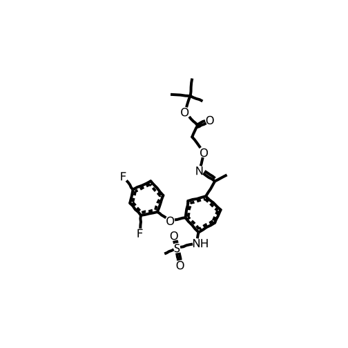 CC(=NOCC(=O)OC(C)(C)C)c1ccc(NS(C)(=O)=O)c(Oc2ccc(F)cc2F)c1